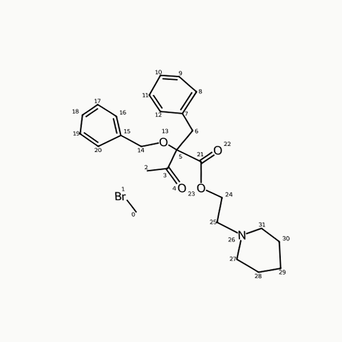 CBr.CC(=O)C(Cc1ccccc1)(OCc1ccccc1)C(=O)OCCN1CCCCC1